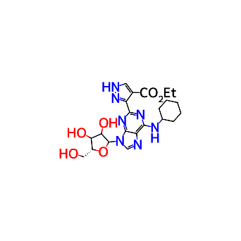 CCOC(=O)c1c[nH]nc1-c1nc(NC2CCCCC2)c2ncn(C3O[C@H](CO)C(O)C3O)c2n1